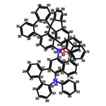 c1ccc(-c2ccccc2N(c2ccc3c(c2)-c2ccccc2-c2ccccc2N3c2ccccc2)c2ccc3c(c2)C2(c4ccccc4-c4ccccc4-3)c3ccccc3-c3cc4c(cc32)oc2ccccc24)cc1